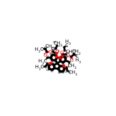 C=C(C)C(=O)Oc1c(CC)c(OCCC)c(C2(c3c(OCCC)c(CC)c(OC(=O)C(=C)C)c(OCCC)c3OCCC)c3ccccc3-c3ccccc32)c(OCCC)c1OCCC